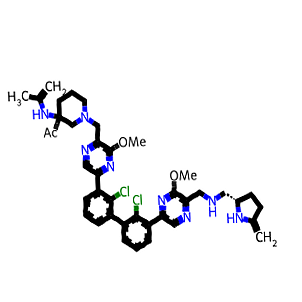 C=C(C)NC1(C(C)=O)CCCN(Cc2ncc(-c3cccc(-c4cccc(-c5cnc(CNC[C@@H]6CCC(=C)N6)c(OC)n5)c4Cl)c3Cl)nc2OC)C1